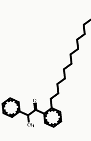 CCCCCCCCCCCCc1ccccc1C(=O)C(O)c1ccccc1